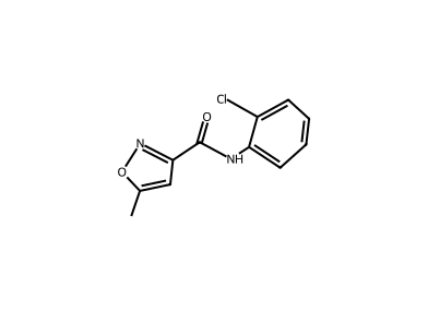 Cc1cc(C(=O)Nc2ccccc2Cl)no1